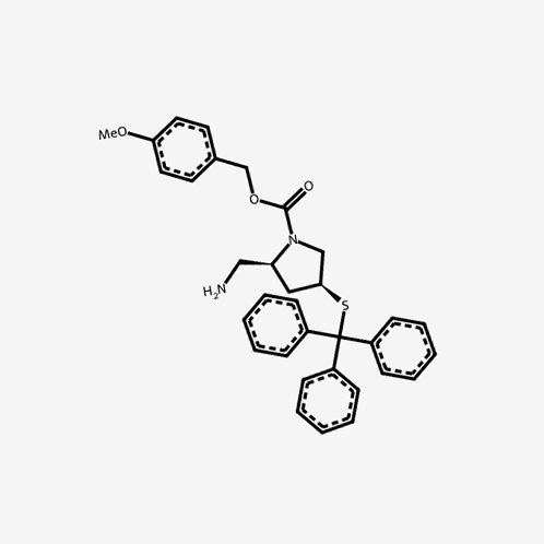 COc1ccc(COC(=O)N2C[C@@H](SC(c3ccccc3)(c3ccccc3)c3ccccc3)C[C@H]2CN)cc1